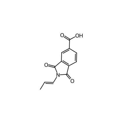 CC=CN1C(=O)c2ccc(C(=O)O)cc2C1=O